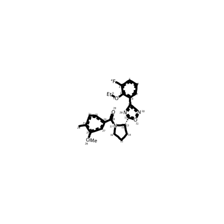 CCOc1c(F)cccc1-c1noc([C@@H]2CCCN2C(=O)c2ccc(C)c(OC)c2)n1